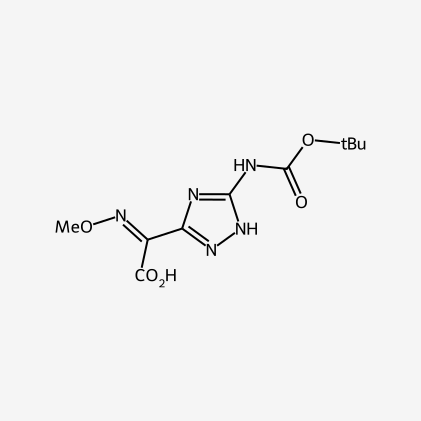 CO/N=C(\C(=O)O)c1n[nH]c(NC(=O)OC(C)(C)C)n1